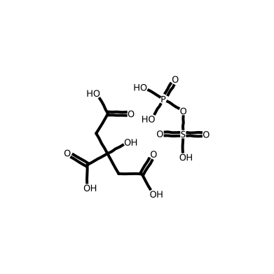 O=C(O)CC(O)(CC(=O)O)C(=O)O.O=P(O)(O)OS(=O)(=O)O